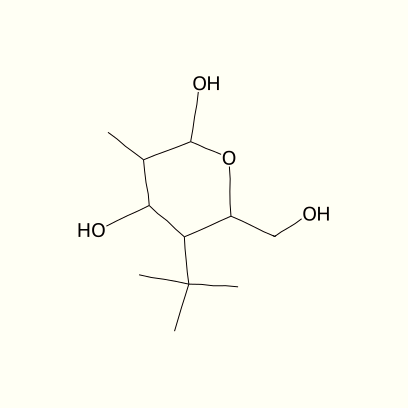 CC1C(O)OC(CO)C(C(C)(C)C)C1O